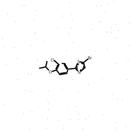 C\C=C(/C=C\C(=C\Cl)OC(C)C)c1ncc(Br)s1